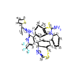 CC(Nc1nc(C(F)(F)F)cc(-c2cccc3scnc23)c1-c1[c]c2c(cc1)SC(N)N2c1ccccc1)c1cccs1